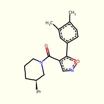 Cc1ccc(-c2oncc2C(=O)N2CCC[C@H](C(C)C)C2)cc1C